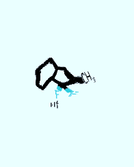 CC1=Cc2ccccc2C1(F)F.[Hf]